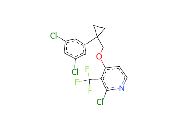 FC(F)(F)c1c(OCC2(c3cc(Cl)cc(Cl)c3)CC2)ccnc1Cl